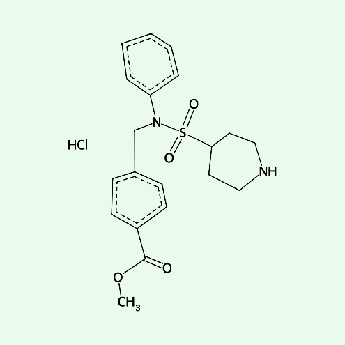 COC(=O)c1ccc(CN(c2ccccc2)S(=O)(=O)C2CCNCC2)cc1.Cl